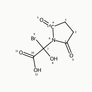 O=C1CC[14C](=O)N1C(O)(Br)C(=O)O